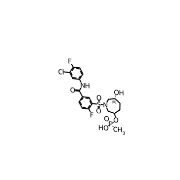 CP(=O)(O)OC1CC[C@@H](O)CN(S(=O)(=O)c2cc(C(=O)Nc3ccc(F)c(Cl)c3)ccc2F)C1